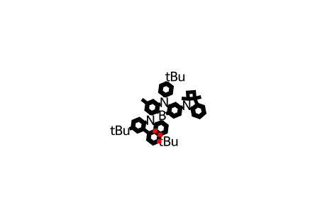 Cc1cc2c3c(c1)N(c1ccc(C(C)(C)C)cc1-c1ccccc1)c1cc(C(C)(C)C)ccc1B3c1ccc(N3c4ccccc4C4(C)CCC34C)cc1N2c1ccc(C(C)(C)C)cc1